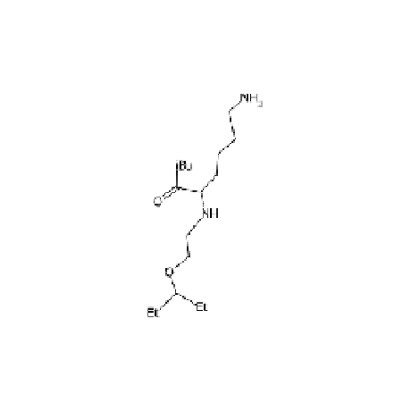 CCC(CC)OCCNC(CCCCN)C(=O)C(C)CC